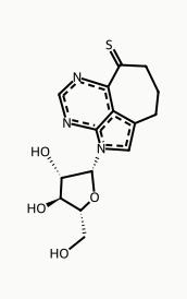 OC[C@H]1O[C@@H](n2cc3c4c(ncnc42)C(=S)CCC3)[C@@H](O)[C@@H]1O